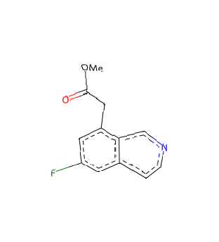 COC(=O)Cc1cc(F)cc2ccncc12